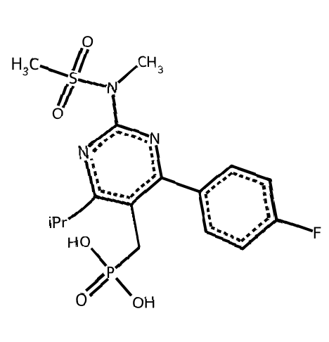 CC(C)c1nc(N(C)S(C)(=O)=O)nc(-c2ccc(F)cc2)c1CP(=O)(O)O